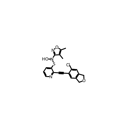 Cc1onc(N(O)Sc2cccnc2C#Cc2cc3c(cc2Cl)COC3)c1C